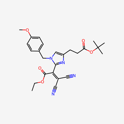 CCOC(=O)C(=C(C#N)C#N)c1nc(CCC(=O)OC(C)(C)C)cn1Cc1ccc(OC)cc1